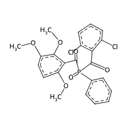 COc1ccc(OC)c(C(=O)P(=O)(C(=O)c2c(Cl)cccc2Cl)c2ccccc2)c1OC